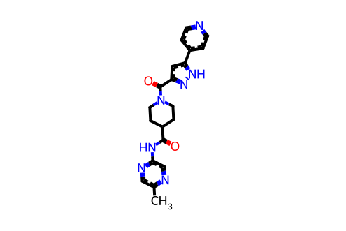 Cc1cnc(NC(=O)C2CCN(C(=O)c3cc(-c4ccncc4)[nH]n3)CC2)cn1